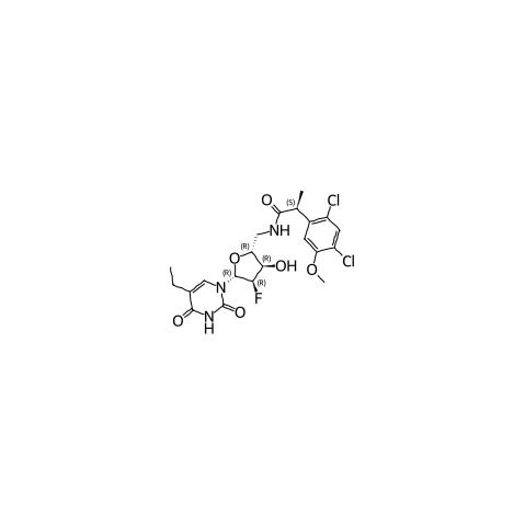 CCc1cn([C@@H]2O[C@H](CNC(=O)[C@@H](C)c3cc(OC)c(Cl)cc3Cl)[C@@H](O)[C@H]2F)c(=O)[nH]c1=O